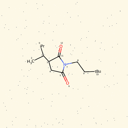 CC(C)C(C)C1CC(=O)N(CCC(C)(C)C)C1=O